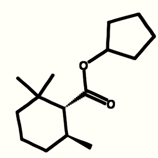 C[C@H]1CCCC(C)(C)[C@@H]1C(=O)OC1CCCC1